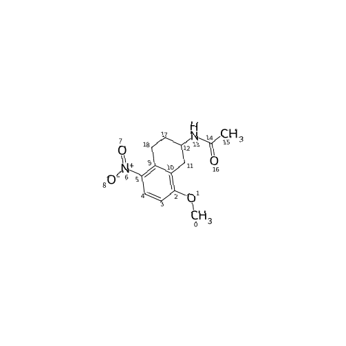 COc1ccc([N+](=O)[O-])c2c1CC(NC(C)=O)CC2